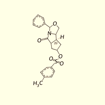 Cc1ccc(S(=O)(=O)OC2CC3C(=O)N4C(c5ccccc5)OCC4[C@H]3C2)cc1